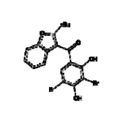 CCCCc1oc2ccccc2c1C(=O)c1cc(Br)c(O)c(Br)c1O